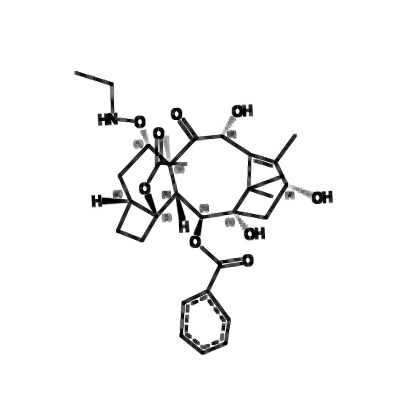 CCNO[C@H]1C[C@H]2CC[C@@]2(OC(C)=O)[C@H]2[C@H](OC(=O)c3ccccc3)[C@]3(O)C[C@@H](O)C(C)=C([C@@H](O)C(=O)[C@]12C)C3(C)C